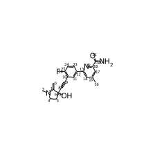 C=C1N(C)CC[C@@]1(O)C#Cc1cc(-c2cc(C)cc(C(N)=O)n2)ccc1F